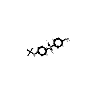 CC(C)(C)Nc1ccc(S(=O)(=O)c2ccc(N)cc2)cc1